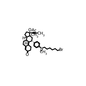 CC#C[C@]1(OC(C)=O)CC[C@H]2[C@@H]3CCC4=CC(=O)CCC4=C3[C@@H](c3ccc(N(C)CCCCCCBr)cc3)C[C@@]21C